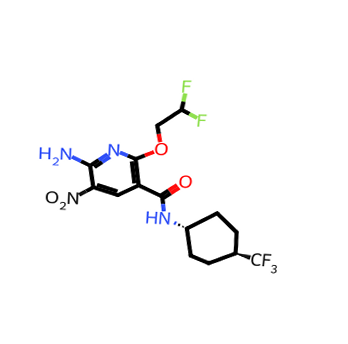 Nc1nc(OCC(F)F)c(C(=O)N[C@H]2CC[C@H](C(F)(F)F)CC2)cc1[N+](=O)[O-]